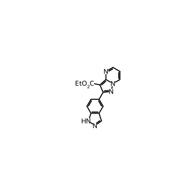 CCOC(=O)c1c(-c2ccc3[nH]ncc3c2)nn2cccnc12